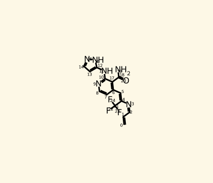 C=C/C=N\C(=C\c1ccnc(Nc2ccn[nH]2)c1C(N)=O)C(F)(F)F